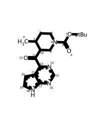 CC1CCN(C(=O)OC(C)(C)C)CC1C(=O)c1ncnc2[nH]ccc12